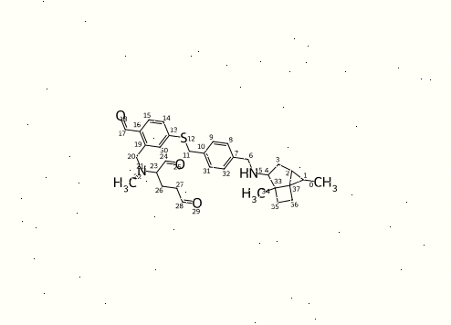 CC1C2CC(NCc3ccc(CSc4ccc(C=O)c(CN(C)C(C=O)CCC=O)c4)cc3)C3(C)CCC123